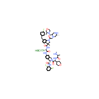 CNC(C)C(=O)NC(C(=O)N1Cc2cc(NC(=O)CNC(=O)C3(C)CN(C(=O)CN4C[C@@H](C)NC[C@@H]4CN4CCOCC4C)c4cc(Cc5ccc(F)cc5)ccc43)ccc2[C@H]1C(=O)Nc1c(F)cccc1F)C1CCOCC1.Cl.Cl.Cl